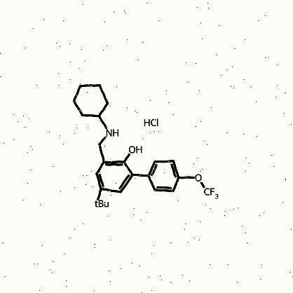 CC(C)(C)c1cc(CNC2CCCCC2)c(O)c(-c2ccc(OC(F)(F)F)cc2)c1.Cl